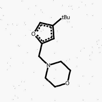 CC(C)(C)c1coc(CN2CCOCC2)c1